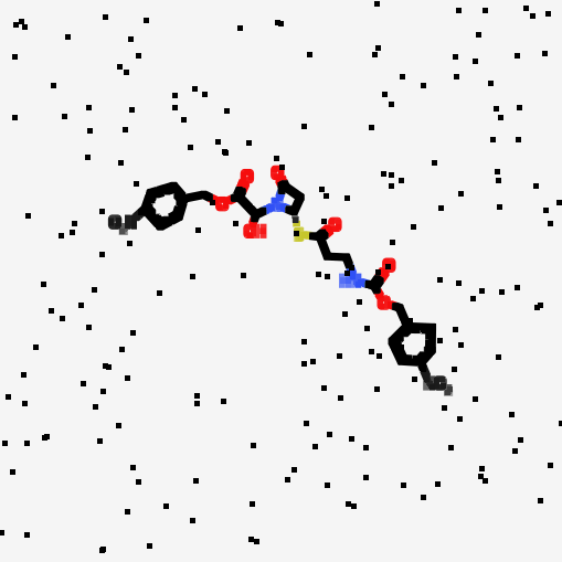 O=C(NCCC(=O)S[C@H]1CC(=O)N1C(O)C(=O)OCc1ccc([N+](=O)[O-])cc1)OCc1ccc([N+](=O)[O-])cc1